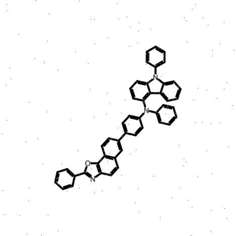 c1ccc(-c2nc3ccc4cc(-c5ccc(N(c6ccccc6)c6cccc7c6c6ccccc6n7-c6ccccc6)cc5)ccc4c3o2)cc1